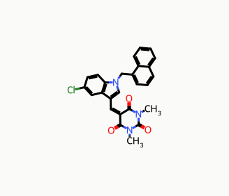 CN1C(=O)C(=Cc2cn(Cc3cccc4ccccc34)c3ccc(Cl)cc23)C(=O)N(C)C1=O